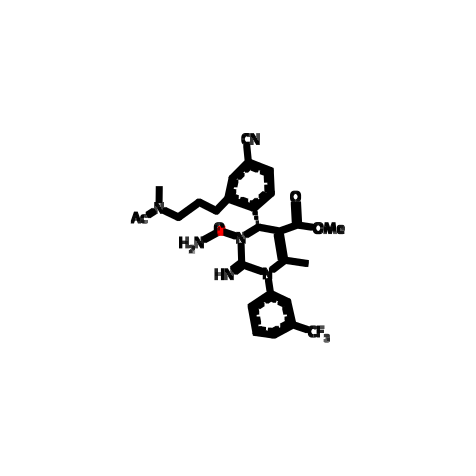 COC(=O)C1=C(C)N(c2cccc(C(F)(F)F)c2)C(=N)N(C(N)=O)[C@@H]1c1ccc(C#N)cc1CCCN(C)C(C)=O